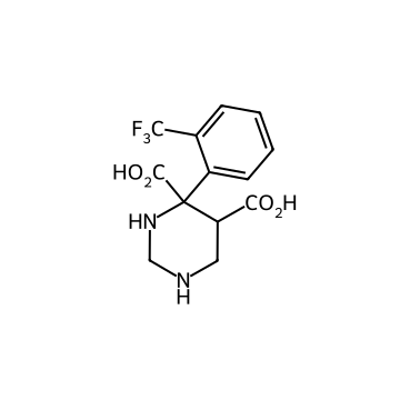 O=C(O)C1CNCNC1(C(=O)O)c1ccccc1C(F)(F)F